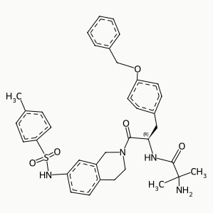 Cc1ccc(S(=O)(=O)Nc2ccc3c(c2)CN(C(=O)[C@@H](Cc2ccc(OCc4ccccc4)cc2)NC(=O)C(C)(C)N)CC3)cc1